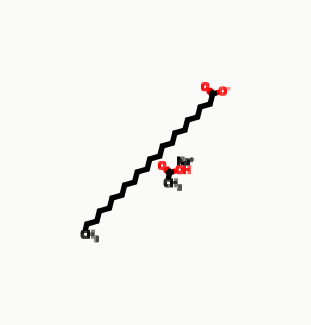 CC(=O)O.CCCCCCCCCCCCCCCCCCCCCC(=O)[O-].[Na+]